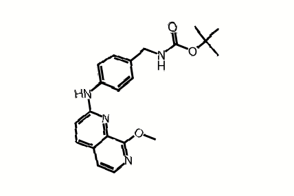 COc1nccc2ccc(Nc3ccc(CNC(=O)OC(C)(C)C)cc3)nc12